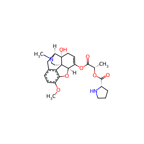 COc1ccc2c3c1O[C@@H]1C(OC(=O)[C@H](C)OC(=O)[C@@H]4CCCN4)=CC[C@]4(O)[C@H](C2)N(C)CC[C@@]314